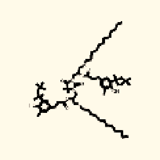 CCCCCCCCCCCCSCC(CN1C(=O)N(CC(CSCCCCCCCCCCCC)OC(=O)CCc2cc(C)c(O)c(C(C)(C)CC(C)(C)C)c2)C(C)(C)C1=O)OC(=O)CCc1cc(C)c(O)c(C(C)(C)CC(C)(C)C)c1